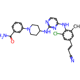 Cc1cc(C=CC#N)cc(Cl)c1Nc1ccnc(NC2CCN(c3cccc(C(N)=O)c3)CC2)n1